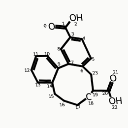 O=C(O)c1ccc2c(c1)-c1ccccc1CCCCC(C(=O)O)C2